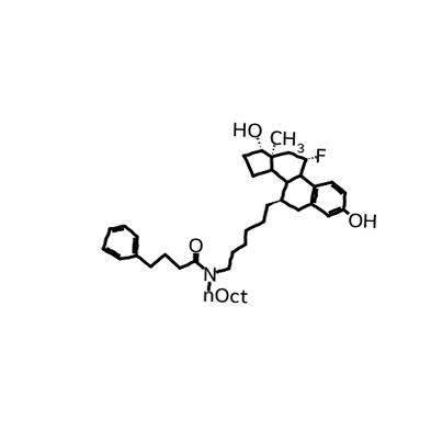 CCCCCCCCN(CCCCCC[C@@H]1Cc2cc(O)ccc2C2C1C1CC[C@H](O)[C@@]1(C)C[C@@H]2F)C(=O)CCCc1ccccc1